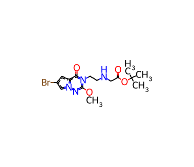 COc1nn2cc(Br)cc2c(=O)n1CCNCC(=O)OC(C)(C)C